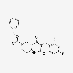 O=C(OCc1ccccc1)N1CCc2[nH]c(=O)n(Cc3ccc(F)cc3F)c(=O)c2C1